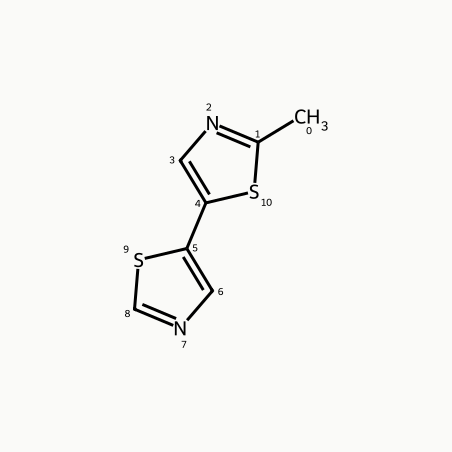 Cc1ncc(-c2cncs2)s1